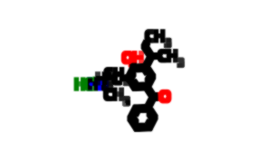 CCC(C)c1cc(C(=O)c2ccccc2)cc(C)c1O.CNC.Cl